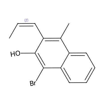 C/C=C\c1c(O)c(Br)c2ccccc2c1C